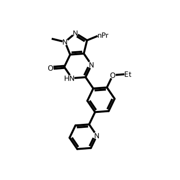 CCCc1nn(C)c2c(=O)[nH]c(-c3cc(-c4ccccn4)ccc3OCC)nc12